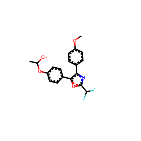 COc1ccc(-c2nc(C(F)F)oc2-c2ccc(OC(C)O)cc2)cc1